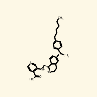 CCCCCCc1ccc(N(C)c2ccc3c(c2)CCN[C@H]3CNc2cnccc2C(=O)O)cc1